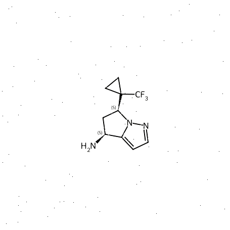 N[C@H]1C[C@@H](C2(C(F)(F)F)CC2)n2nccc21